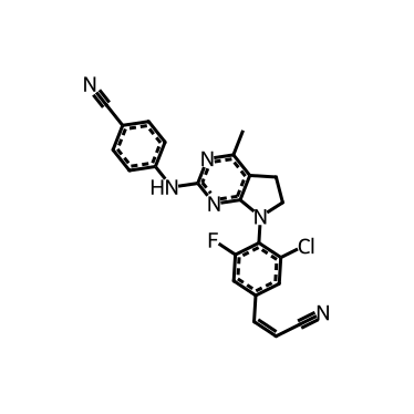 Cc1nc(Nc2ccc(C#N)cc2)nc2c1CCN2c1c(F)cc(/C=C\C#N)cc1Cl